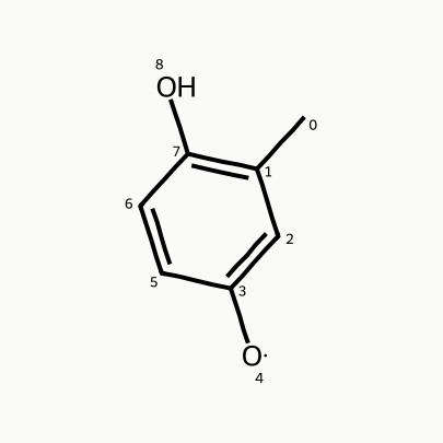 Cc1cc([O])ccc1O